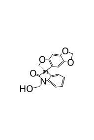 O=C1N(CO)c2ccccc2[C@@]12COc1cc3c(cc12)OCO3